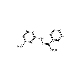 COc1cccc(NC=C(C(=O)O)c2ccccc2)c1